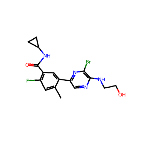 Cc1cc(F)c(C(=O)NC2CC2)cc1-c1cnc(NCCO)c(Br)n1